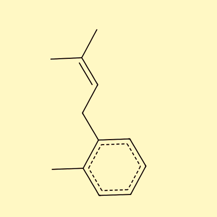 CC(C)=CCc1ccccc1C